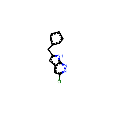 Clc1cc2cc(Cc3ccccc3)[nH]c2nn1